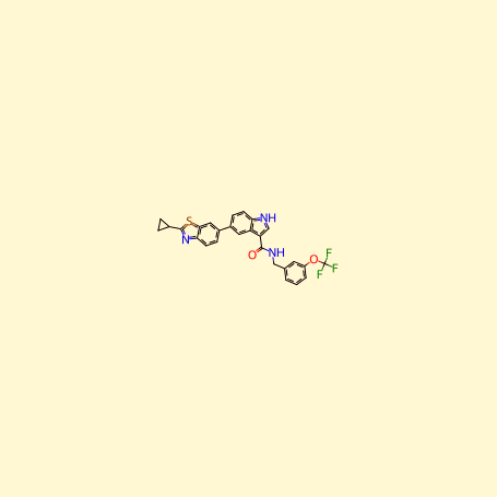 O=C(NCc1cccc(OC(F)(F)F)c1)c1c[nH]c2ccc(-c3ccc4nc(C5CC5)sc4c3)cc12